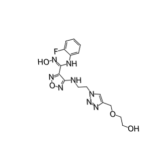 OCCOCc1cn(CCNc2nonc2C(=NO)Nc2ccccc2F)nn1